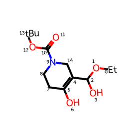 CCOC(O)C1=C(O)CCN(C(=O)OC(C)(C)C)C1